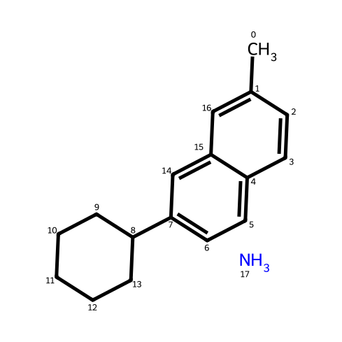 Cc1ccc2ccc(C3CCCCC3)cc2c1.N